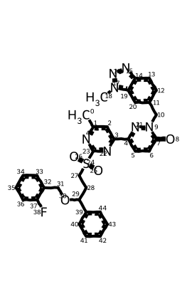 Cc1cc(-c2ccc(=O)n(Cc3ccc4nnn(C)c4c3)n2)nc(S(=O)(=O)CCC(OCc2ccccc2F)c2ccccc2)n1